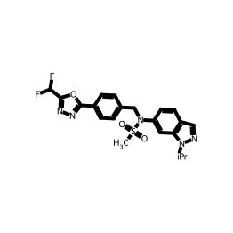 CC(C)n1ncc2ccc(N(Cc3ccc(-c4nnc(C(F)F)o4)cc3)S(C)(=O)=O)cc21